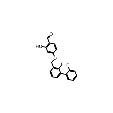 O=Cc1ccc(OCc2cccc(-c3ccccc3F)c2F)cc1O